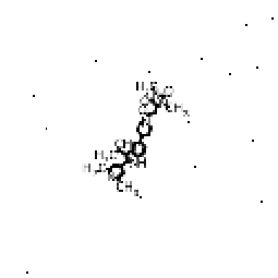 Cc1cc(-c2[nH]c3ccc(C4CCN(C(=O)CC5C(=O)N(C)C(=O)N5C)CC4)cc3c2C(C)C)cc(C)n1